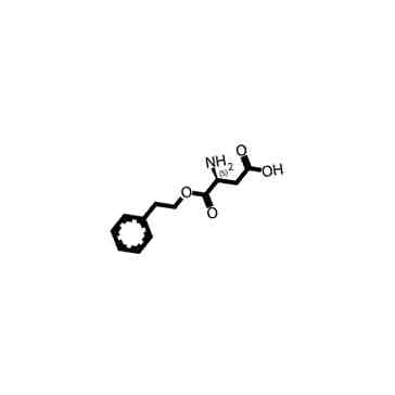 N[C@@H](CC(=O)O)C(=O)OCCc1ccccc1